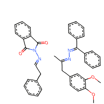 COc1ccc(CC(C)=NN=C(c2ccccc2)c2ccccc2)cc1OC.O=C1c2ccccc2C(=O)N1N=CCc1ccccc1